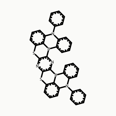 c1ccc(N2c3ccccc3B3c4nc5c(nc4Sc4cccc2c43)Sc2cccc3c2B5c2ccccc2N3c2ccccc2)cc1